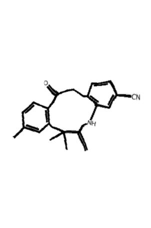 C=C1Nc2cc(C#N)ccc2CC(=O)c2ccc(C)cc2C1(C)C